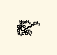 CCCCCCCC(CC(C(=O)O)C(=O)O)C(C)(C)C.[BaH2]